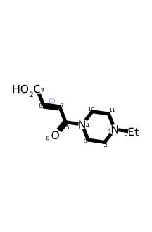 CCN1CCN(C(=O)/C=C/C(=O)O)CC1